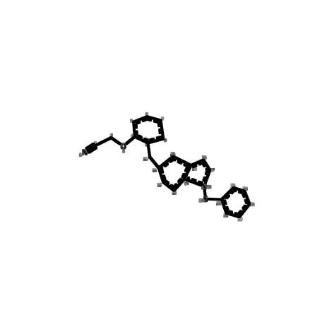 N#CCOc1ccccc1Cc1ccc2c(ccn2Sc2ccccc2)c1